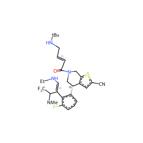 CCN/C=C(/c1c(F)cccc1[C@@H]1CN(C(=O)/C=C/CNC(C)(C)C)Cc2sc(C#N)cc21)C(NC)C(F)(F)F